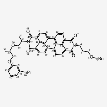 CCCCOCCCN1C(=O)c2ccc3c4ccc5c6c(ccc(c7ccc(c2c37)C1=O)c64)C(=O)N(C(C)COC(C)COc1cccc(CCC)c1)C5=O